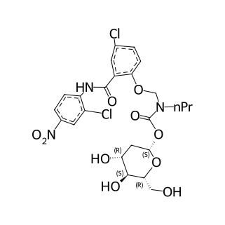 CCCN(COc1ccc(Cl)cc1C(=O)Nc1ccc([N+](=O)[O-])cc1Cl)C(=O)O[C@H]1C[C@@H](O)[C@H](O)[C@@H](CO)O1